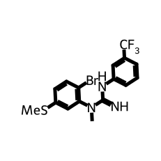 CSc1ccc(Br)c(N(C)C(=N)Nc2cccc(C(F)(F)F)c2)c1